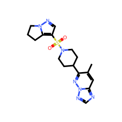 Cc1cc2ncnn2nc1C1CCN(S(=O)(=O)c2cnn3c2CCC3)CC1